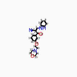 N#CC(=CNc1ccccc1)C(=O)c1cccc(OCCN2CCOCC2)c1